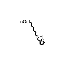 CCCCCCCCCCCCCCNCc1ccco1